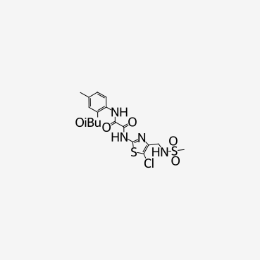 Cc1ccc(NC(=O)C(=O)Nc2nc(CNS(C)(=O)=O)c(Cl)s2)c(OCC(C)C)c1